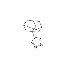 C1=NN=C[SH]1C12CC3CC(CC(C3)C1)C2